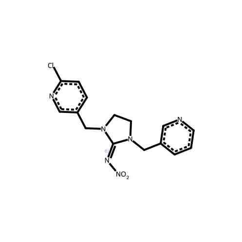 O=[N+]([O-])/N=C1\N(Cc2cccnc2)CCN1Cc1ccc(Cl)nc1